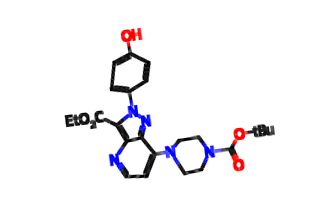 CCOC(=O)c1c2nccc(N3CCN(C(=O)OC(C)(C)C)CC3)c2nn1-c1ccc(O)cc1